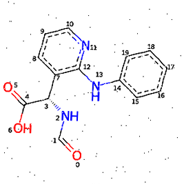 O=CN[C@H](C(=O)O)c1cccnc1Nc1ccccc1